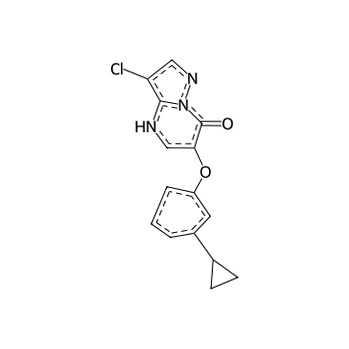 O=c1c(Oc2cccc(C3CC3)c2)c[nH]c2c(Cl)cnn12